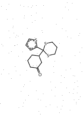 O=C1CCCC(C2(c3cccs3)SCCCS2)C1